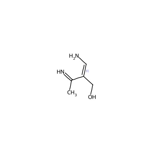 CC(=N)/C(=C\N)CO